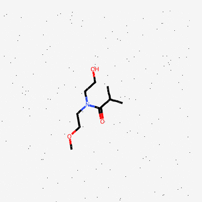 COCCN(CCO)C(=O)C(C)C